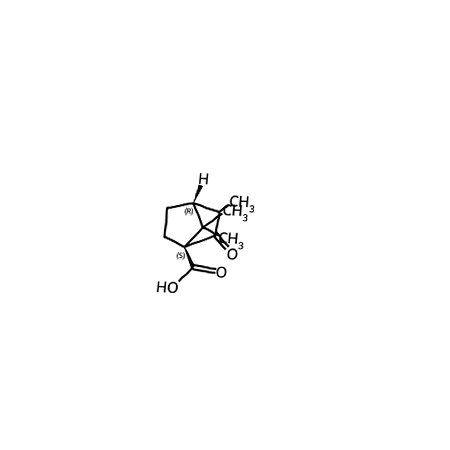 CC1C(=O)[C@]2(C(=O)O)CC[C@H]1C2(C)C